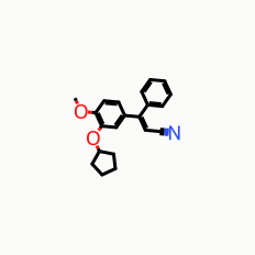 COc1ccc(C(=CC#N)c2ccccc2)cc1OC1CCCC1